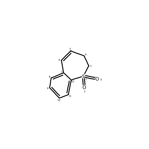 O=S1(=O)CC[C]=Cc2ccccc21